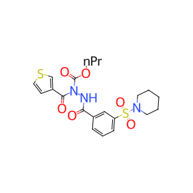 CCCOC(=O)N(NC(=O)c1cccc(S(=O)(=O)N2CCCCC2)c1)C(=O)c1ccsc1